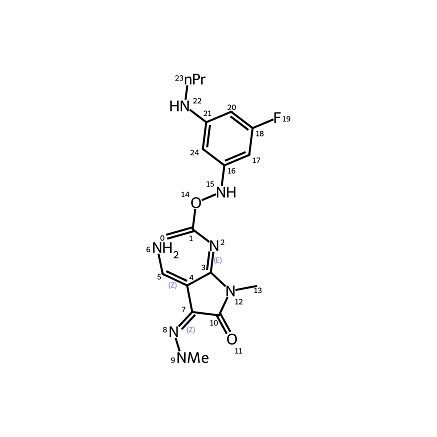 C=C(\N=C1C(=C\N)/C(=N/NC)C(=O)N/1C)ONc1cc(F)cc(NCCC)c1